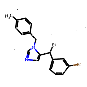 [CH2]CC(c1cccc(Br)c1)c1cncn1Cc1ccc(C)cc1